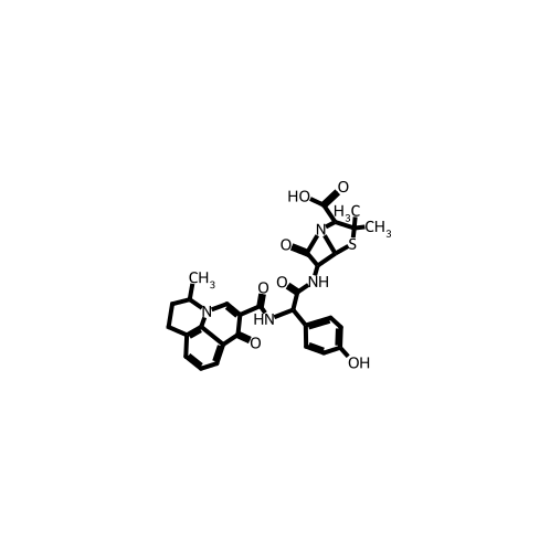 CC1CCc2cccc3c(=O)c(C(=O)NC(C(=O)NC4C(=O)N5C4SC(C)(C)C5C(=O)O)c4ccc(O)cc4)cn1c23